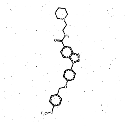 O=C(NCCN1CCCCC1)c1ccc2c(c1)ncn2-c1ccc(OCc2ccc(OC(F)(F)F)cc2)cc1